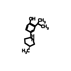 CC(C)c1cc([C@@H]2CC[C@@H](C)CN2)ccc1O